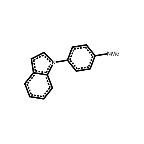 CNc1ccc(-n2ccc3ccccc32)cc1